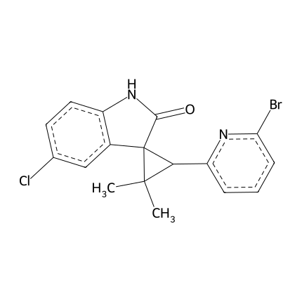 CC1(C)C(c2cccc(Br)n2)C12C(=O)Nc1ccc(Cl)cc12